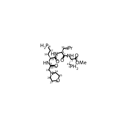 COC(=O)[C@H](CP)NC(=O)[C@H](CC(C)C)NC(=O)[C@H](CCP)NC(=O)CN1CCOCC1